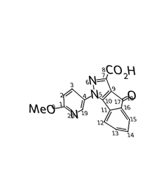 COc1ccc(-n2nc(C(=O)O)c3c2-c2ccccc2C3=O)cn1